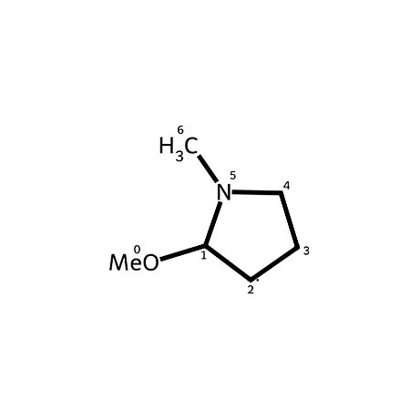 COC1[CH]CCN1C